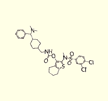 CN(C)C(c1ccccc1)C1CCC(CNC(=O)Oc2c(N(C)S(=O)(=O)c3ccc(Cl)c(Cl)c3)sc3c2CCCC3)CC1